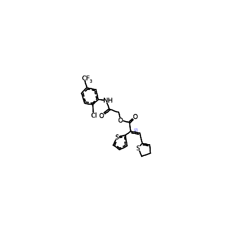 O=C(COC(=O)/C(=C/C1=CCCS1)c1cccs1)Nc1cc(C(F)(F)F)ccc1Cl